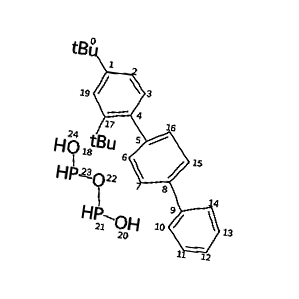 CC(C)(C)c1ccc(-c2ccc(-c3ccccc3)cc2)c(C(C)(C)C)c1.OPOPO